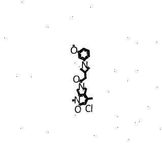 COc1cccc(N2CC(CC(=O)N3Cc4c(C)c(Cl)c(=O)n(C)c4C3)C2)c1